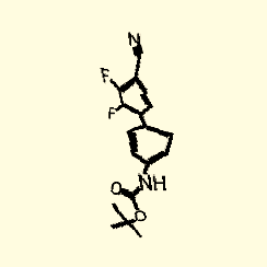 CC(C)(C)OC(=O)Nc1ccc(-c2ccc(C#N)c(F)c2F)cc1